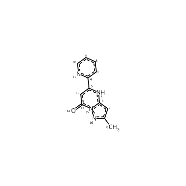 Cc1cc2[nH]c(-c3ccccn3)cc(=O)n2n1